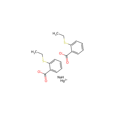 CCSc1ccccc1C(=O)[O-].CCSc1ccccc1C(=O)[O-].[Hg+2].[NaH]